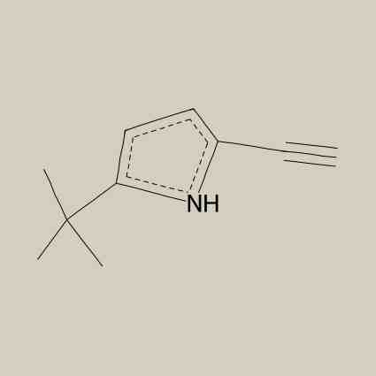 C#Cc1ccc(C(C)(C)C)[nH]1